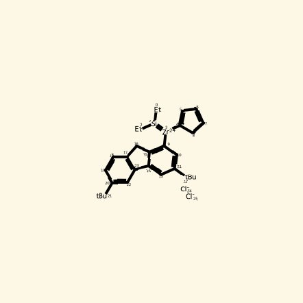 CC[Si](CC)=[Zr+2]([C]1=CC=CC1)[c]1cc(C(C)(C)C)cc2c1Cc1ccc(C(C)(C)C)cc1-2.[Cl-].[Cl-]